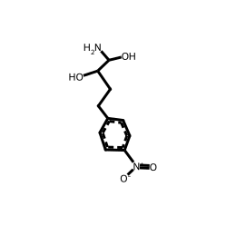 NC(O)C(O)CCc1ccc([N+](=O)[O-])cc1